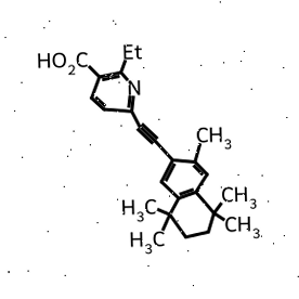 CCc1nc(C#Cc2cc3c(cc2C)C(C)(C)CCC3(C)C)ccc1C(=O)O